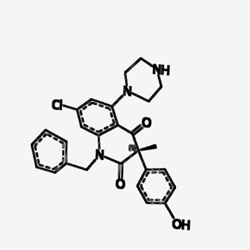 C[C@]1(c2ccc(O)cc2)C(=O)c2c(N3CCNCC3)cc(Cl)cc2N(Cc2ccccc2)C1=O